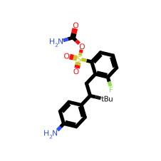 CC(C)(C)C(Cc1c(F)cccc1S(=O)(=O)OC(N)=O)c1ccc(N)cc1